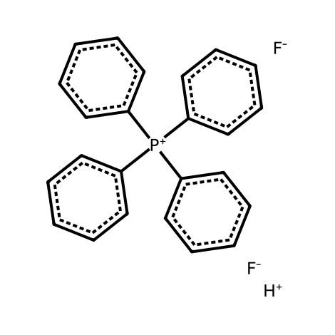 [F-].[F-].[H+].c1ccc([P+](c2ccccc2)(c2ccccc2)c2ccccc2)cc1